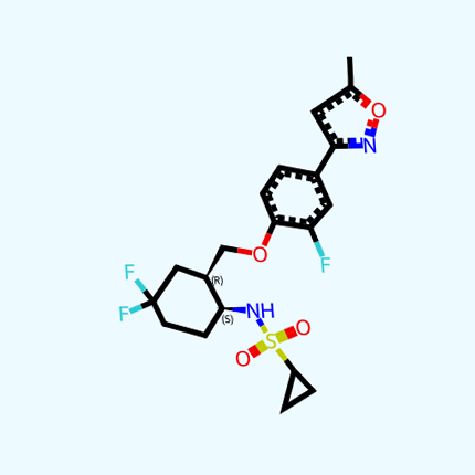 Cc1cc(-c2ccc(OC[C@@H]3CC(F)(F)CC[C@@H]3NS(=O)(=O)C3CC3)c(F)c2)no1